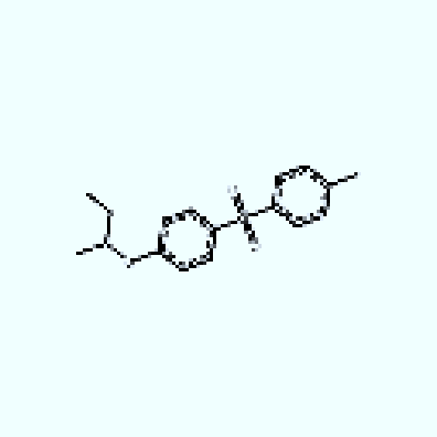 CCC(C)Oc1ccc(S(=O)(=O)c2ccc(C)cc2)cc1